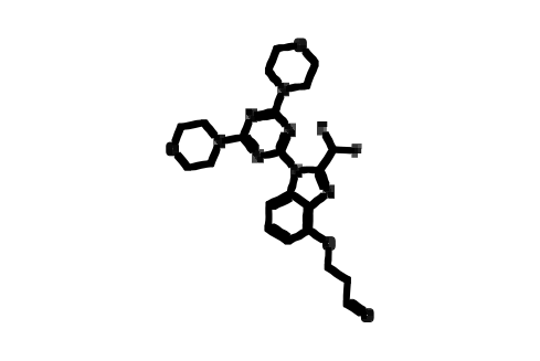 O=CCCOc1cccc2c1nc(C(F)F)n2-c1nc(N2CCOCC2)nc(N2CCOCC2)n1